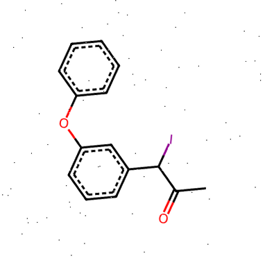 CC(=O)C(I)c1cccc(Oc2ccccc2)c1